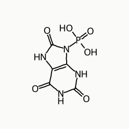 O=c1[nH]c(=O)c2[nH]c(=O)n(P(=O)(O)O)c2[nH]1